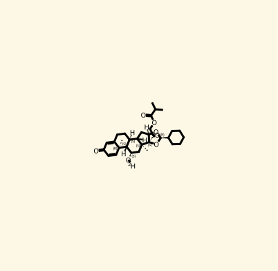 [2H]O[C@H]1C[C@@]2(C)[C@@H](C[C@H]3O[C@@H](C4CCCCC4)O[C@]32C(=O)COC(=O)C(C)C)[C@@H]2CCC3=CC(=O)C=C[C@]3(C)[C@H]21